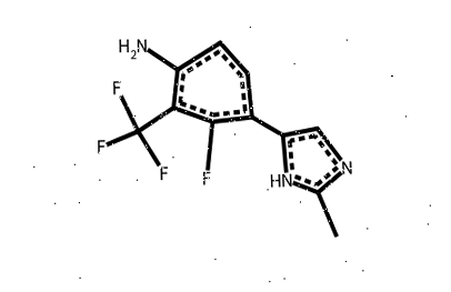 Cc1ncc(-c2ccc(N)c(C(F)(F)F)c2F)[nH]1